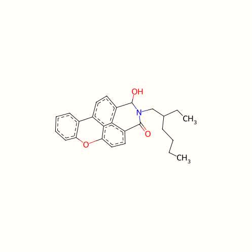 CCCCC(CC)CN1C(=O)c2ccc3c4c(ccc(c24)C1O)-c1ccccc1O3